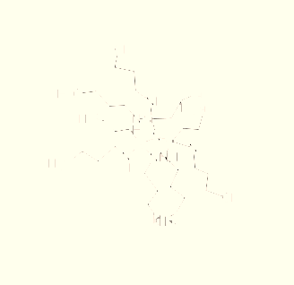 CCCCN[Si](CC[SiH3])(NCCCC)N([Si](CC[SiH3])(NCCCC)NCCCC)[Si](CC[SiH3])(NCCCC)NCCCC